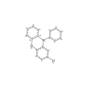 Clc1ccc2c(c1)N(c1ccccc1)c1ccccc1O2